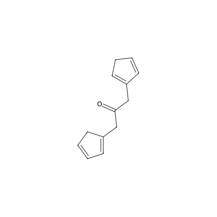 O=C(CC1=CCC=C1)CC1=CC=CC1